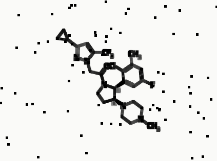 Cc1cc(F)cc([C@H]2[C@@H](N3CCN(C)CC3)CCN2C(=O)Cn2nc(C3CC3)cc2C(F)(F)F)c1Cl